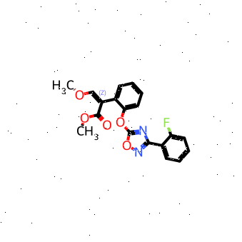 CO/C=C(\C(=O)OC)c1ccccc1Oc1nc(-c2ccccc2F)no1